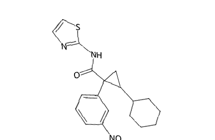 O=C(Nc1nccs1)C1(c2cccc([N+](=O)[O-])c2)CC1C1CCCCC1